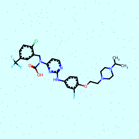 CC(C)N1CCN(CCOc2ccc(Nc3nccc(N(Cc4cc(C(F)(F)F)ccc4Cl)C(=O)O)n3)cc2F)CC1